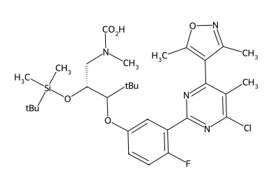 Cc1noc(C)c1-c1nc(-c2cc(OC([C@@H](CN(C)C(=O)O)O[Si](C)(C)C(C)(C)C)C(C)(C)C)ccc2F)nc(Cl)c1C